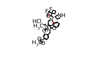 CCN1C(=O)N(Cc2ccc(S(C)(=O)=O)cc2)C(=O)C12CCN(C(C(=O)C1(C(F)(F)F)CCC1)[C@@H]1CNC[C@@H]1c1ccccc1)CC2.Cl